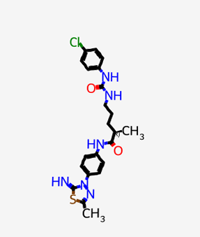 Cc1nn(-c2ccc(NC(=O)[C@H](C)CCCNC(=O)Nc3ccc(Cl)cc3)cc2)c(=N)s1